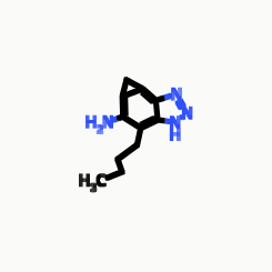 CCCCc1c(N)c2c(c3nn[nH]c13)C2